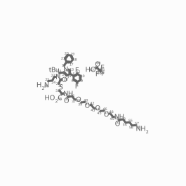 CC(C)(C)C(c1cc(-c2cc(F)ccc2F)cn1Cc1ccccc1)N(CCCN)C(=O)CSCC(NC(=O)CCOCCOCCOCCOCCNC(=O)CCCCCN)C(=O)O.O=C(O)C(F)(F)F